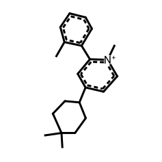 Cc1ccccc1-c1cc(C2CCC(C)(C)CC2)cc[n+]1C